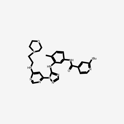 Cc1ccc(NC(=O)c2ccnc(C(C)(C)C)c2)cc1Nc1ncnn1-c1cc(NCCN2CCOCC2)ncn1